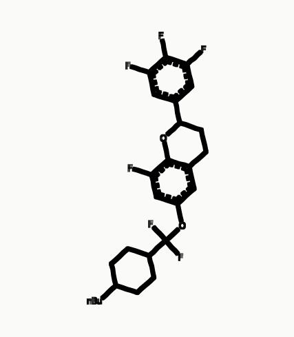 CCCCC1CCC(C(F)(F)Oc2cc(F)c3c(c2)CCC(c2cc(F)c(F)c(F)c2)O3)CC1